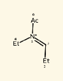 CC(=O)/[N+](=C/[13CH2][13CH3])[13CH2][13CH3]